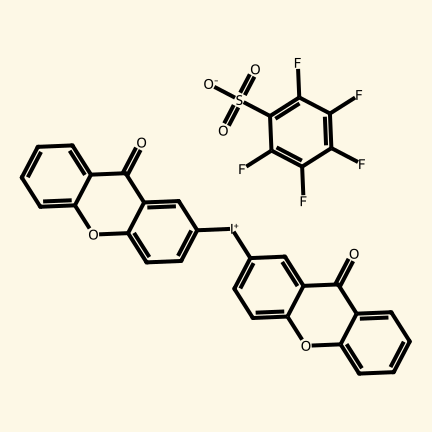 O=S(=O)([O-])c1c(F)c(F)c(F)c(F)c1F.O=c1c2ccccc2oc2ccc([I+]c3ccc4oc5ccccc5c(=O)c4c3)cc12